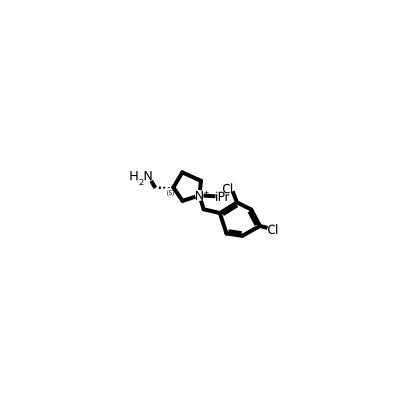 CC(C)[N+]1(Cc2ccc(Cl)cc2Cl)CC[C@@H](CN)C1